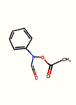 CC(=O)ON(C=O)c1ccccc1